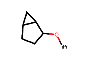 CC(C)OC1CCC2CC21